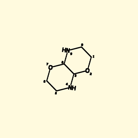 C1COC2NCCOC2N1